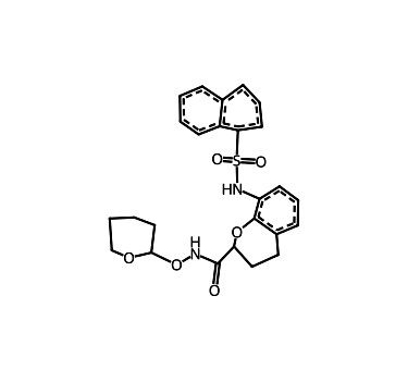 O=C(NOC1CCCCO1)C1CCc2cccc(NS(=O)(=O)c3cccc4ccccc34)c2O1